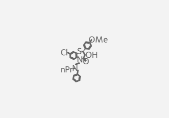 CCCN(CCN1C(=O)[C@H](O)[C@H](c2ccc(OC)cc2)Sc2cc(Cl)ccc21)Cc1ccccc1